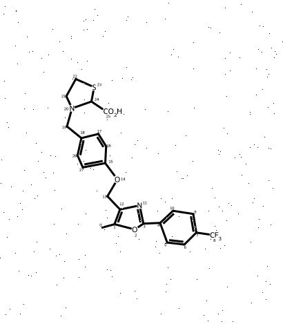 Cc1oc(-c2ccc(C(F)(F)F)cc2)nc1COc1ccc(CN2CCSC2C(=O)O)cc1